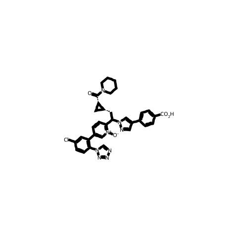 O=C(O)c1ccc(-c2cnn(C(C[C@@H]3C[C@@H]3C(=O)N3CCCCC3)c3ccc(-c4cc(Cl)ccc4-n4cnnn4)c[n+]3[O-])c2)cc1